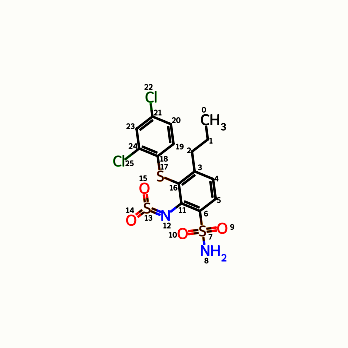 CCCc1ccc(S(N)(=O)=O)c(N=S(=O)=O)c1Sc1ccc(Cl)cc1Cl